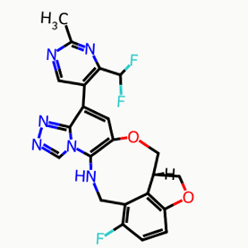 Cc1ncc(-c2cc3c(n4cnnc24)NCc2c(F)ccc4c2[C@@H](CO4)CO3)c(C(F)F)n1